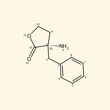 N[C@@]1(Cc2ccccc2)CCOC1=O